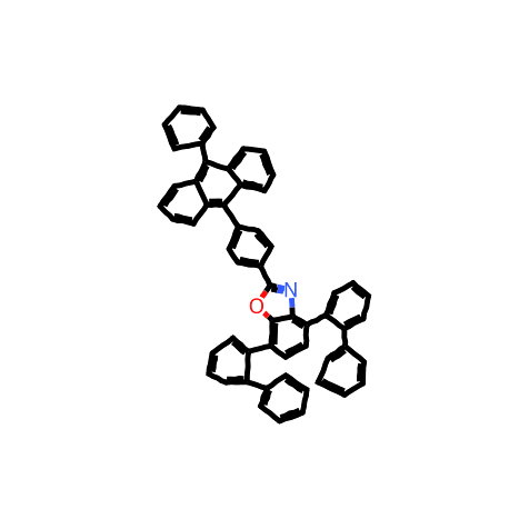 c1ccc(-c2ccccc2-c2ccc(-c3ccccc3-c3ccccc3)c3oc(-c4ccc(-c5c6ccccc6c(-c6ccccc6)c6ccccc56)cc4)nc23)cc1